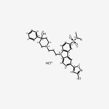 CCc1noc(-c2cc3c4cc(S(=O)(=O)N(C)C)ccc4n(CCCN4CCC(O)(c5ccccc5)CC4)c3cn2)n1.Cl